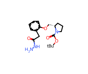 CC(C)(C)OC(=O)N1CCC[C@H]1COc1ccccc1CC(=O)NN